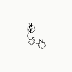 c1ccc(-c2ccc(CN3CCN4CCC3CC4)s2)nc1